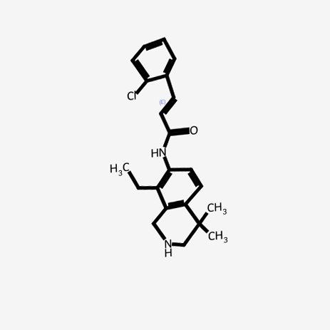 CCc1c(NC(=O)/C=C/c2ccccc2Cl)ccc2c1CNCC2(C)C